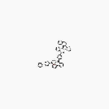 C1=Cc2cc(-c3ccccc3Nc3ccc(N(c4ccc(-c5ccc(-c6ccccc6)cc5)cc4)c4ccccc4-c4ccccc4)cc3)c3c(ccc4ccccc43)c2CC1